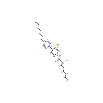 CCCCCCCc1cnc(-c2ccc(OC(=O)C(F)CCCCCC)c(F)c2F)nc1